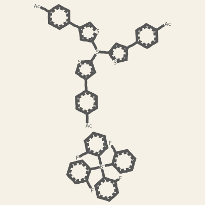 CC(=O)c1ccc(-c2csc([S+](c3cc(-c4ccc(C(C)=O)cc4)cs3)c3cc(-c4ccc(C(C)=O)cc4)cs3)c2)cc1.Fc1ccccc1[B-](c1ccccc1F)(c1ccccc1F)c1ccccc1F